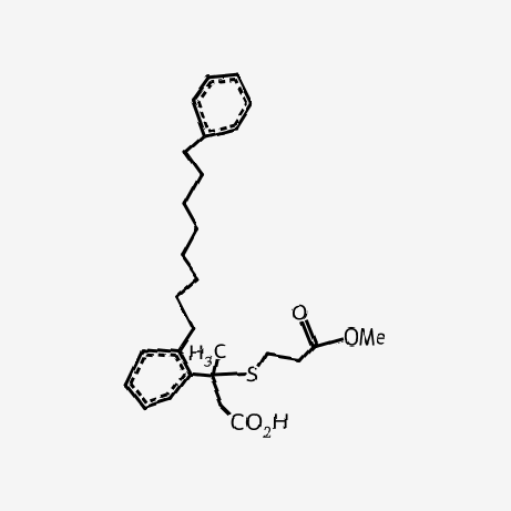 COC(=O)CCSC(C)(CC(=O)O)c1ccccc1CCCCCCCCc1ccccc1